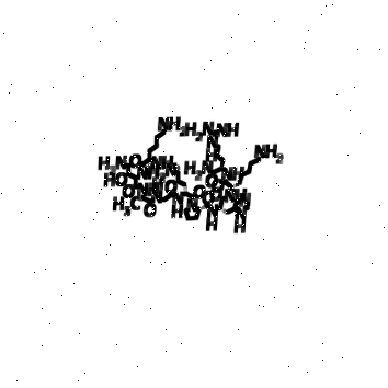 C[C@H](NC(=O)[C@@H](NC(=O)C(N)CCCCN)[C@@H](O)CN)C(=O)NCC(=O)N[C@H](CCCN)C(=O)N1CCC[C@H]1C(=O)N[C@@H](Cc1cnc[nH]1)C(=O)N[C@@H](CCCCCN)C(=O)N[C@H](CCCNC(=N)N)C(N)=O